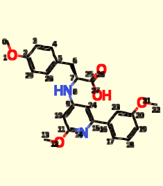 COc1ccc(C[C@H](Nc2cc(OC)nc(-c3cccc(OC)c3)c2)C(=O)O)cc1